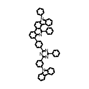 c1ccc(-c2nc(-c3ccc(-c4cccc5c4nc(-c4ccccc4)c4c5ccc5c4c4ccccc4n5-c4ccccc4)cc3)nc(-c3cccc(-n4c5ccccc5c5ccccc54)c3)n2)cc1